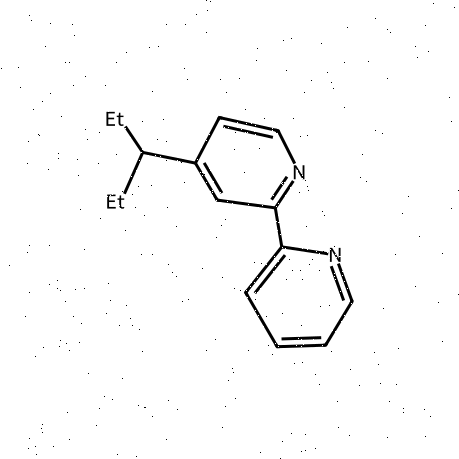 CCC(CC)c1ccnc(-c2ccccn2)c1